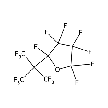 FC(F)(F)C(C(F)(F)F)(C(F)(F)F)C1(F)OC(F)(F)C(F)(F)C1(F)F